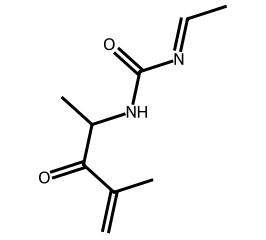 C=C(C)C(=O)C(C)NC(=O)N=CC